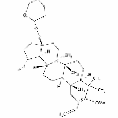 C=CC1=C(OC)C(C)(C)[C@@H]2CC[C@]3(C)[C@H](CC[C@@H]4[C@H]5[C@H](C(C)C)CC[C@]5(COC5CCCCO5)CC[C@]43C)[C@@]2(C)C1